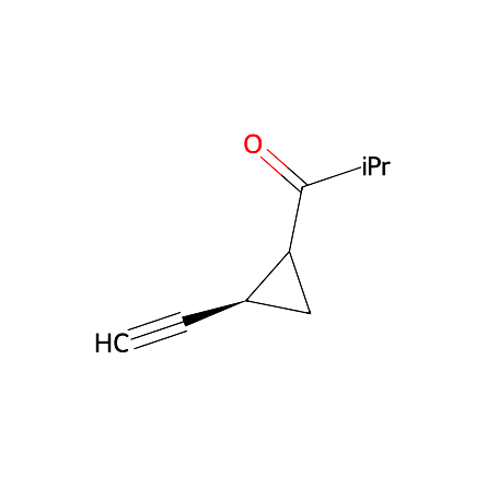 C#C[C@@H]1CC1C(=O)C(C)C